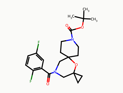 CC(C)(C)OC(=O)N1CCC2(CC1)CN(C(=O)c1cc(F)ccc1F)CC1(CC1)O2